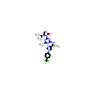 Cc1nc(N[C@@H](C)c2cn(-c3ccc(C(F)(F)F)cc3)cn2)nc(N2C(=O)SC[C@@H]2C(C)C)n1